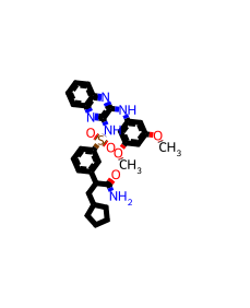 COc1cc(Nc2nc3ccccc3nc2NS(=O)(=O)c2cccc(C(CC3CCCC3)C(N)=O)c2)cc(OC)c1